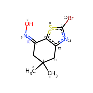 CC1(C)C/C(=N/O)c2sc(Br)nc2C1